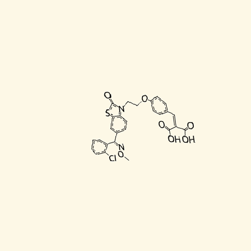 CON=C(c1ccc2c(c1)sc(=O)n2CCOc1ccc(C=C(C(=O)O)C(=O)O)cc1)c1ccccc1Cl